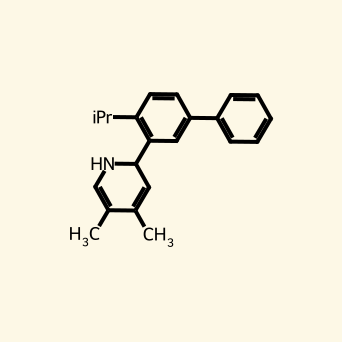 CC1=CNC(c2cc(-c3ccccc3)ccc2C(C)C)C=C1C